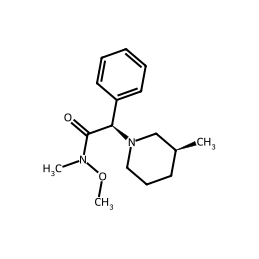 CON(C)C(=O)[C@@H](c1ccccc1)N1CCC[C@H](C)C1